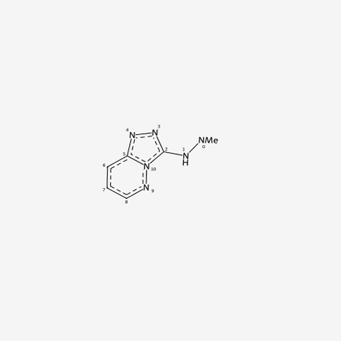 CNNc1nnc2cccnn12